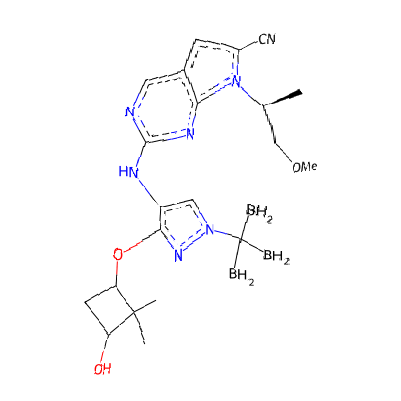 BC(B)(B)n1cc(Nc2ncc3cc(C#N)n([C@@H](C)COC)c3n2)c(OC2CC(O)C2(C)C)n1